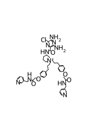 Nc1nc(N)c(C(=O)N[C@H]2CCC[N+](CCCc3ccc(OCC(=O)NCc4cccnc4)cc3)(CCCc3ccc(OCC(=O)NCc4cccnc4)cc3)C2)nc1Cl